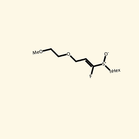 CCCCCC[S+]([O-])/C(F)=C/COCCOC